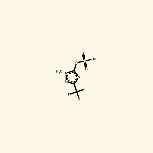 C.O=S(=O)(O)Oc1nnc(C(F)(F)F)s1